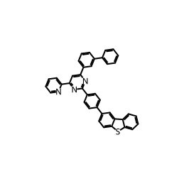 c1ccc(-c2cccc(-c3cc(-c4ccccn4)nc(-c4ccc(-c5ccc6sc7ccccc7c6c5)cc4)n3)c2)cc1